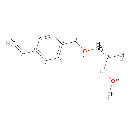 C=Cc1ccc(CO[SiH2]C(CC)COCC)cc1